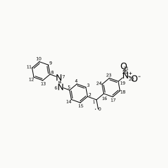 [CH2]C(c1ccc(/N=N/c2ccccc2)cc1)c1ccc([N+](=O)[O-])cc1